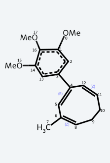 COc1cc(C2=C/C(C)=C\CC/C=C\2)cc(OC)c1OC